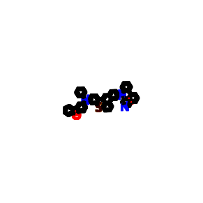 c1ccc(-c2ccccc2N(c2cccnc2)c2ccc3cc4c5c(cccc5c3c2)Sc2cc(N(c3ccccc3)c3ccc5oc6ccccc6c5c3)ccc2-4)cc1